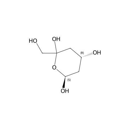 OCC1(O)C[C@H](O)C[C@@H](O)O1